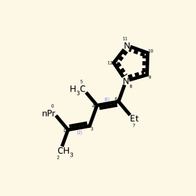 CCC/C(C)=C\C(C)=C(/CC)n1ccnc1